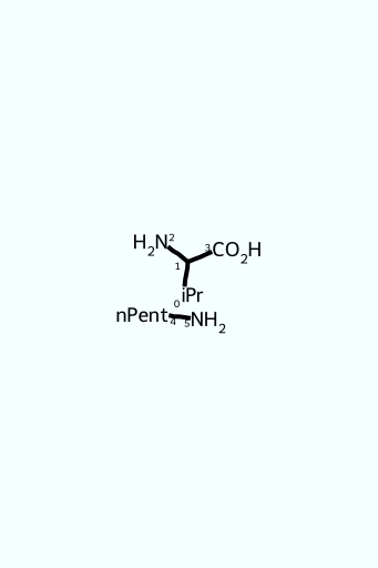 CC(C)C(N)C(=O)O.CCCCCN